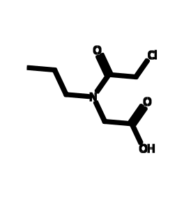 CCCN(CC(=O)O)C(=O)CCl